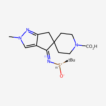 Cn1cc2c(n1)CC1(CCN(C(=O)O)CC1)/C2=N\[S@+]([O-])C(C)(C)C